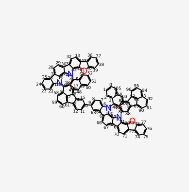 c1ccc2c(-n3c4ccc(-c5ccc6c(c5)-c5ccc(-n7c8ccccc8c8ccc9c%10ccc%11c%12ccccc%12oc%11c%10n(-c%10cccc%11ccccc%10%11)c9c87)c7cccc-6c57)cc4c4ccc5c6ccc7c8ccccc8oc7c6n(-c6ccc7c(c6)-c6cccc8cccc-7c68)c5c43)cccc2c1